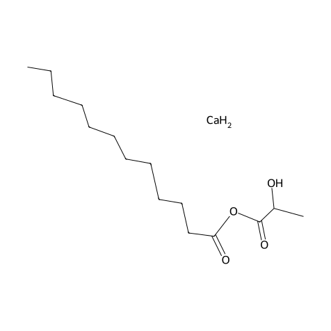 CCCCCCCCCCCC(=O)OC(=O)C(C)O.[CaH2]